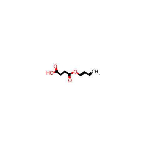 C=CC=COC(=O)CCC(=O)O